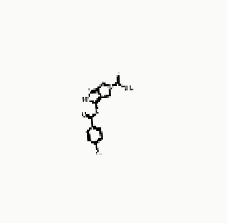 CC(=O)c1ccc(C(=O)Nc2[nH]nc3c2CN(C(N)=O)C3)cc1